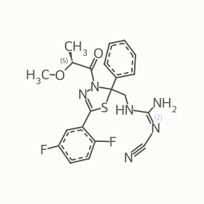 CO[C@@H](C)C(=O)N1N=C(c2cc(F)ccc2F)SC1(CN/C(N)=N\C#N)c1ccccc1